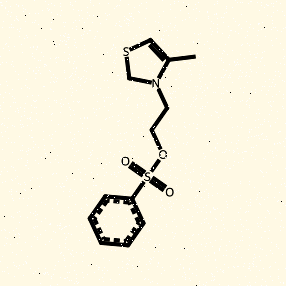 CC1=CSCN1CCOS(=O)(=O)c1ccccc1